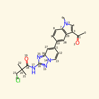 CC(=O)c1cn(C)c2ccc(-c3ccn4nc(NC(=O)C(C)(C)CCl)nc4c3)cc12